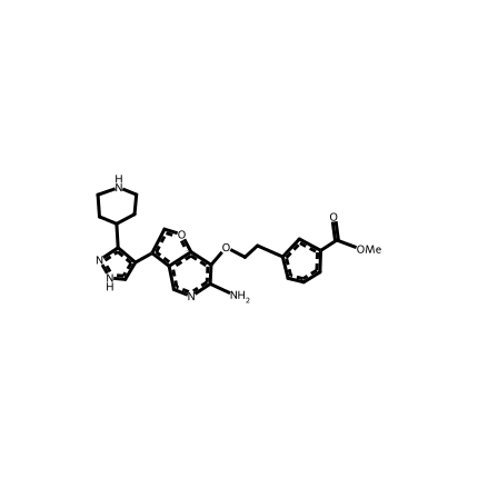 COC(=O)c1cccc(CCOc2c(N)ncc3c(-c4c[nH]nc4C4CCNCC4)coc23)c1